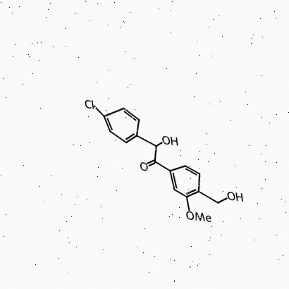 COc1cc(C(=O)C(O)c2ccc(Cl)cc2)ccc1CO